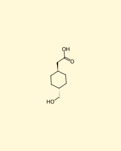 O=C(O)C[C@H]1CC[C@H](CO)CC1